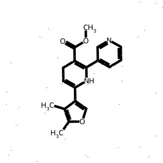 COC(=O)C1=C(c2cccnc2)NC(c2coc(C)c2C)=CC1